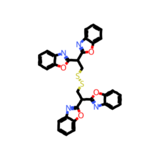 c1ccc2oc(C(CSSCC(c3nc4ccccc4o3)c3nc4ccccc4o3)c3nc4ccccc4o3)nc2c1